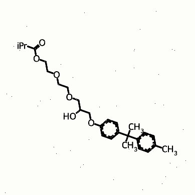 Cc1ccc(C(C)(C)c2ccc(OCC(O)COCCOCCOC(=O)C(C)C)cc2)cc1